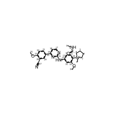 CNC(=O)[C@@H]1CCC[N+]1(C)c1ccc(Nc2nccc(-c3ccc(OC)c(C#N)c3)n2)cc1OC